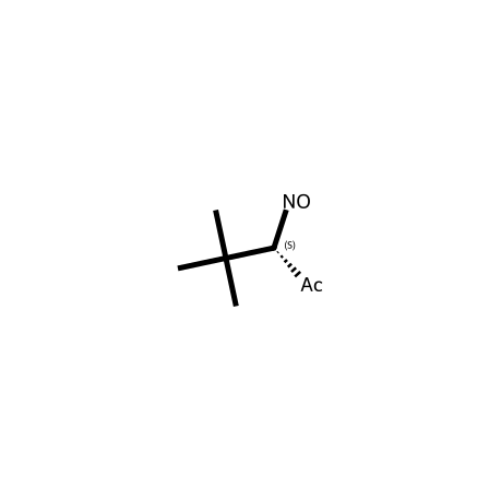 CC(=O)[C@@H](N=O)C(C)(C)C